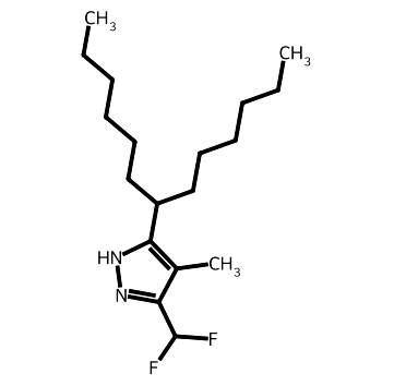 CCCCCCC(CCCCCC)c1[nH]nc(C(F)F)c1C